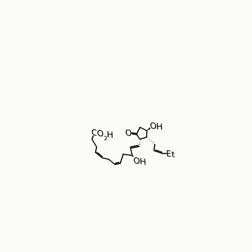 CC/C=C\C[C@H]1[C@H](O)CC(=O)[C@H]1/C=C/[C@@H](O)C/C=C\C/C=C\CCC(=O)O